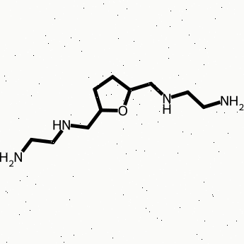 NCCNCC1CCC(CNCCN)O1